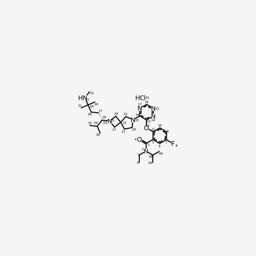 CCN(C(=O)c1cc(F)ccc1Oc1nncnc1N1CCC2(C1)CN([C@@H](CCC(C)(C)NC)C(C)C)C2)C(C)C.Cl